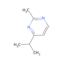 Cc1n[c]cc(C(C)C)n1